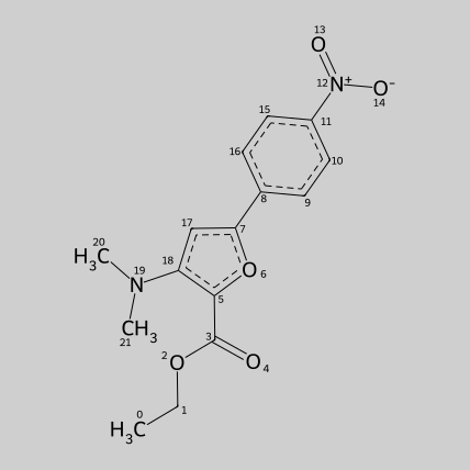 CCOC(=O)c1oc(-c2ccc([N+](=O)[O-])cc2)cc1N(C)C